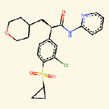 O=C(Nc1ccccn1)[C@H](CC1CCOCC1)c1ccc(S(=O)(=O)C2CC2)c(Cl)c1